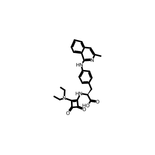 CCN(CC)c1c(N[C@@H](Cc2ccc(Nc3nc(C)cc4ccccc34)cc2)C(=O)O)c(=O)c1=O